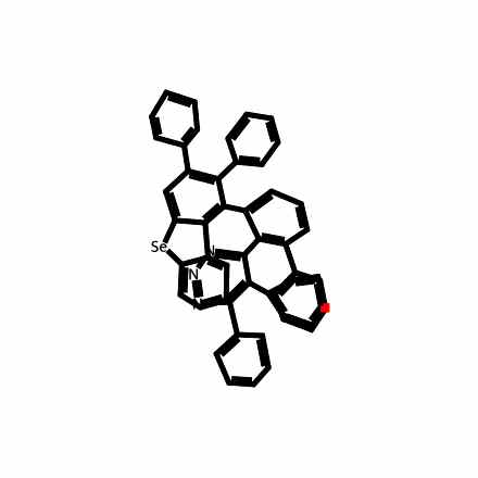 c1ccc(-c2cccc(-c3c(-c4ccccc4)c(-c4ccccc4)cc4[se]c5ccccc5c34)c2-c2nnnc(-c3ccccc3)c2-c2ccccc2)cc1